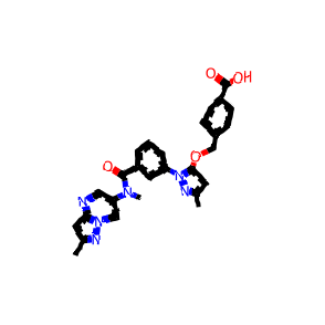 Cc1cc(OCc2ccc(C(=O)O)cc2)n(-c2cccc(C(=O)N(C)c3cnc4cc(C)nn4c3)c2)n1